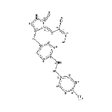 C=c1[nH]cc(Cc2ccc(NCc3ccc(C(F)(F)F)nc3)nc2)/c1=C/C(Cl)=C\C